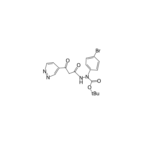 CC(C)(C)OC(=O)N(NC(=O)CC(=O)c1ccnnc1)c1ccc(Br)cc1